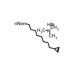 Br.CCCCCCCCCCCCCCCCCC1C=C1.CN(C)C